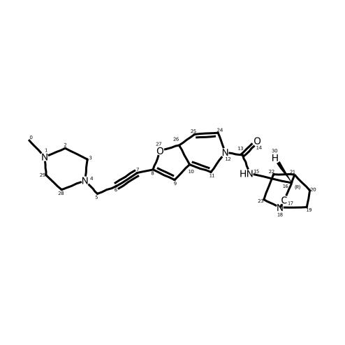 CN1CCN(CC#CC2=CC3=CN(C(=O)N[C@H]4CN5CCC4CC5)C=CC3O2)CC1